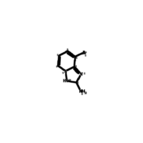 NC1N=C2C(Br)=CC=CN2N1